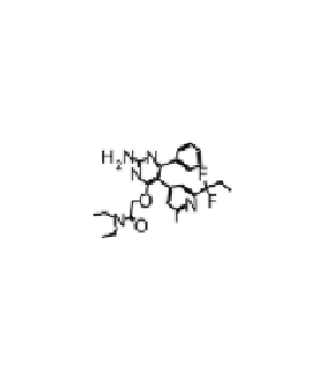 CCN(CC)C(=O)COc1nc(N)nc(-c2ccccc2)c1-c1cc(C)nc(C(F)(F)CC)c1